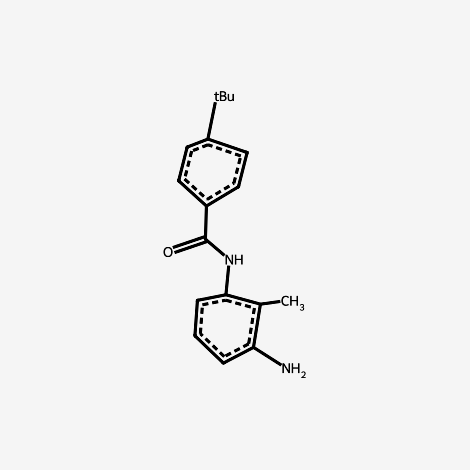 Cc1c(N)cccc1NC(=O)c1ccc(C(C)(C)C)cc1